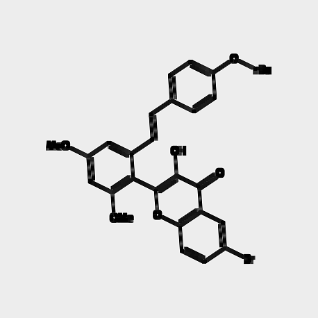 CCCCOc1ccc(/C=C/c2cc(OC)cc(OC)c2-c2oc3ccc(Br)cc3c(=O)c2O)cc1